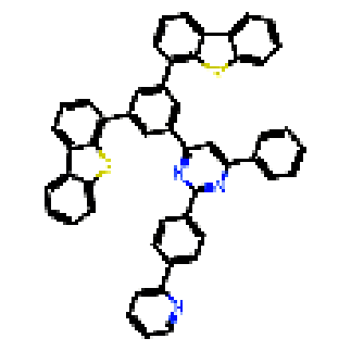 c1ccc(-c2cc(-c3cc(-c4cccc5c4sc4ccccc45)cc(-c4cccc5c4sc4ccccc45)c3)nc(-c3ccc(-c4ccccn4)cc3)n2)cc1